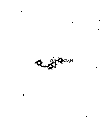 Cc1cccc(CC#Cc2ccc3ncn(Cc4ccc(C(=O)O)cc4)c(=O)c3c2)c1